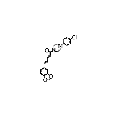 O=C(C=CC=Cc1ccc2c(c1)OCO2)N1CCN(c2ccc(Cl)cc2)CC1